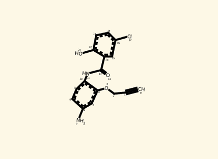 C#CCOc1cc(N)ccc1NC(=O)c1cc(Cl)ccc1O